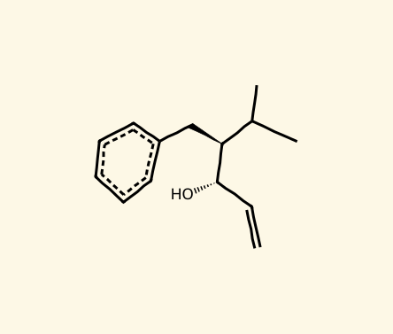 C=C[C@H](O)[C@@H](Cc1ccccc1)C(C)C